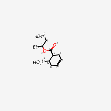 CCCCCCCCCCCC(CC)OC(=O)C1CC=CCC1C(=O)O